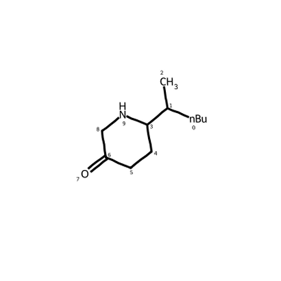 CCCCC(C)C1CCC(=O)CN1